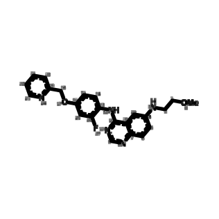 COCCNc1ccc2ncnc(Nc3ccc(OCc4ccccn4)cc3F)c2c1